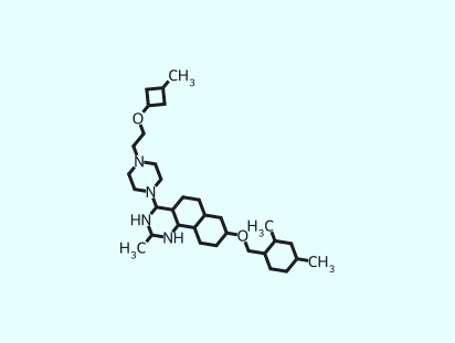 CC1CC(OCCN2CCN(C3NC(C)NC4C5CCC(OCC6CCC(C)CC6C)CC5CCC43)CC2)C1